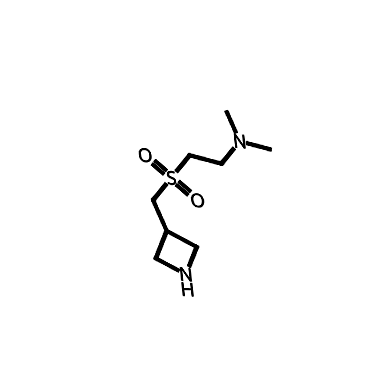 CN(C)CCS(=O)(=O)CC1CNC1